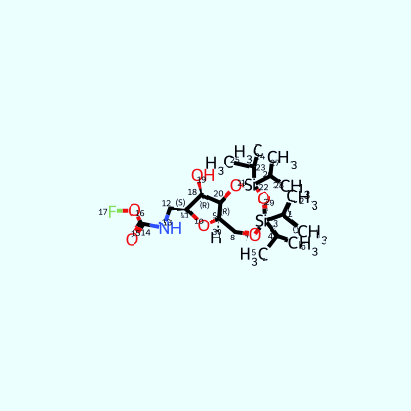 CC(C)[Si]1(C(C)C)OC[C@H]2O[C@@H](CNC(=O)OF)[C@@H](O)C2O[Si](C(C)C)(C(C)C)O1